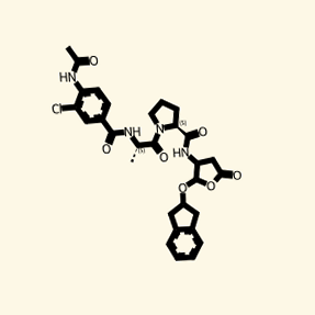 CC(=O)Nc1ccc(C(=O)N[C@@H](C)C(=O)N2CCC[C@H]2C(=O)NC2CC(=O)OC2OC2Cc3ccccc3C2)cc1Cl